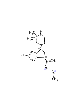 C=C(/C=C\C=C/C)[C@@H]1C[C@@H](N2CCNC(C)(C)C2)c2cc(Cl)ccc21